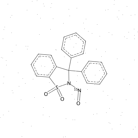 O=[15N]N1C(c2ccccc2)(c2ccccc2)c2ccccc2S1(=O)=O